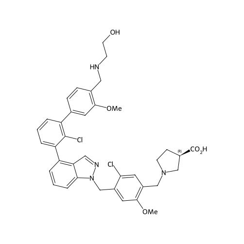 COc1cc(-c2cccc(-c3cccc4c3cnn4Cc3cc(OC)c(CN4CC[C@@H](C(=O)O)C4)cc3Cl)c2Cl)ccc1CNCCO